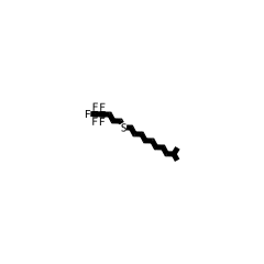 CC(C)CCCCCCCCSCCCC(F)(F)C(F)(F)F